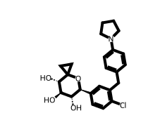 O[C@@H]1[C@@H](O)[C@H](O)C2(CC2)O[C@H]1c1ccc(Cl)c(Cc2ccc(N3CCCC3)cc2)c1